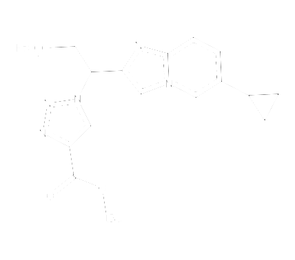 CCOC(=O)CC(c1cn2cc(C3CC3)ccc2n1)n1cc(C(=O)OC(C)(C)C)nn1